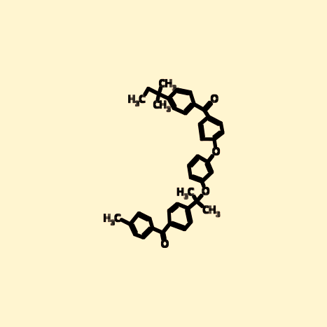 CCC(C)(C)c1ccc(C(=O)c2ccc(Oc3cccc(OC(C)(C)c4ccc(C(=O)c5ccc(C)cc5)cc4)c3)cc2)cc1